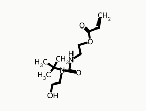 C=CC(=O)OCCNC(=O)N(CCO)C(C)(C)C